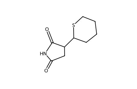 O=C1CC(C2CCCCS2)C(=O)N1